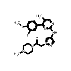 COc1ccc(-c2nc(Nc3cnn(CC(=O)N4CCN(C)CC4)c3)ncc2C)cc1F